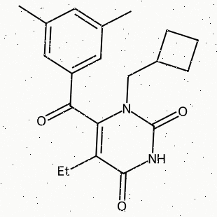 CCc1c(C(=O)c2cc(C)cc(C)c2)n(CC2CCC2)c(=O)[nH]c1=O